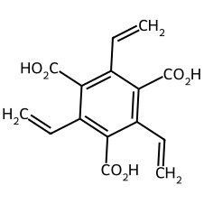 C=Cc1c(C(=O)O)c(C=C)c(C(=O)O)c(C=C)c1C(=O)O